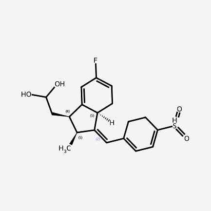 C[C@@H]1/C(=C/C2=CC=C([SH](=O)=O)CC2)[C@@H]2CC=C(F)C=C2[C@@H]1CC(O)O